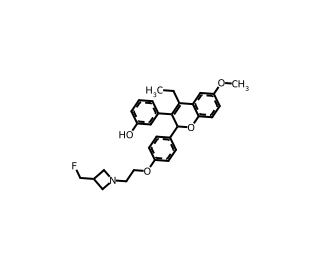 CCC1=C(c2cccc(O)c2)C(c2ccc(OCCN3CC(CF)C3)cc2)Oc2ccc(OC)cc21